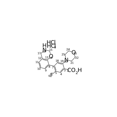 Cl.Cl.O=C(O)c1cc(F)c(-c2cccc3c2OCNC3)cc1N1CCOCC1